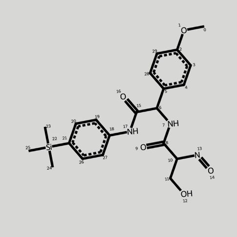 COc1ccc(C(NC(=O)C(CO)N=O)C(=O)Nc2ccc([Si](C)(C)C)cc2)cc1